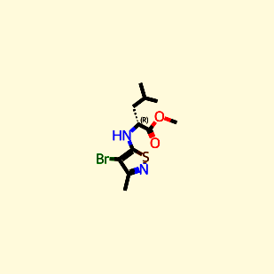 COC(=O)[C@@H](CC(C)C)Nc1snc(C)c1Br